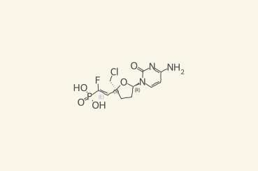 Nc1ccn([C@H]2CC[C@](/C=C(\F)P(=O)(O)O)(CCl)O2)c(=O)n1